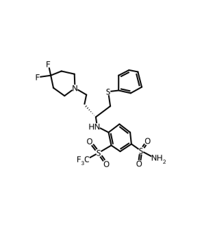 NS(=O)(=O)c1ccc(N[C@H](CCN2CCC(F)(F)CC2)CSc2ccccc2)c(S(=O)(=O)C(F)(F)F)c1